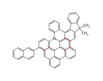 CC1(C)c2ccccc2-c2c(-c3ccccc3N(c3ccc(-c4ccc5ccccc5c4)cc3)c3ccccc3-c3cccc4cccc(-c5ccccc5)c34)cccc21